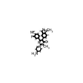 Cn1c(N2CCC(N)CC2)nc(-c2ccc(C#N)c(F)c2)c(-c2ccc3c(cnn3C)c2)c1=O